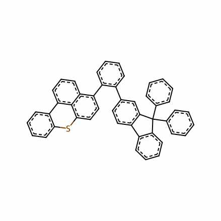 c1ccc(C2(c3ccccc3)c3ccccc3-c3ccc(-c4ccccc4-c4ccc5c6c(cccc46)-c4ccccc4S5)cc32)cc1